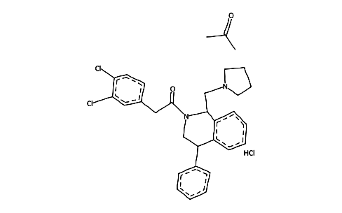 CC(C)=O.Cl.O=C(Cc1ccc(Cl)c(Cl)c1)N1CC(c2ccccc2)c2ccccc2C1CN1CCCC1